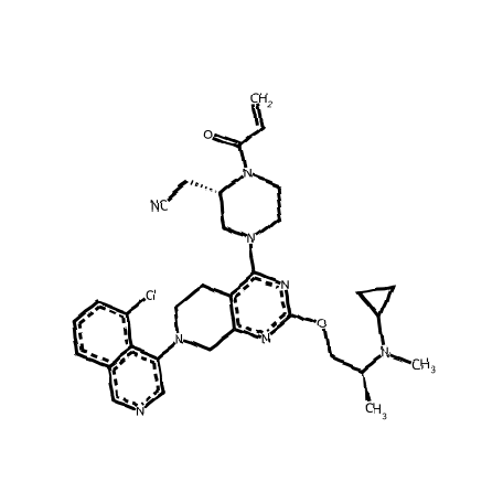 C=CC(=O)N1CCN(c2nc(OC[C@H](C)N(C)C3CC3)nc3c2CCN(c2cncc4cccc(Cl)c24)C3)C[C@@H]1CC#N